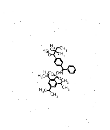 CCC(C)(C)C(OO)c1ccc(/C(=N\OS(=O)(=O)c2c(C(C)C)cc(C(C)C)cc2C(C)C)c2ccccc2)cc1